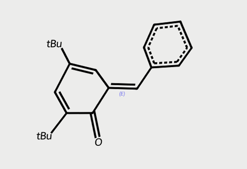 CC(C)(C)C1=C/C(=C\c2ccccc2)C(=O)C(C(C)(C)C)=C1